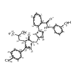 O=C(Nc1cccc(O)c1)c1ccccc1-n1cnc(Cn2nc(-c3ccc(Cl)cc3)n(CC(O)C(F)(F)F)c2=O)n1